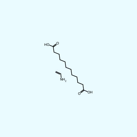 C=CN.O=C(O)CCCCCCCCCCC(=O)O